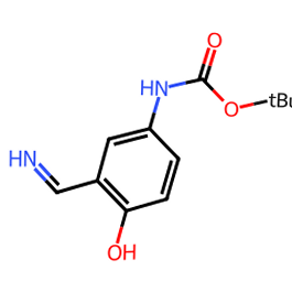 CC(C)(C)OC(=O)Nc1ccc(O)c(C=N)c1